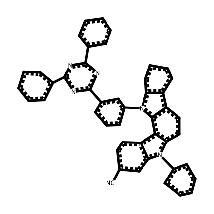 N#Cc1ccc2c3c(ccc4c5ccccc5n(-c5cccc(-c6nc(-c7ccccc7)nc(-c7ccccc7)n6)c5)c43)n(-c3ccccc3)c2c1